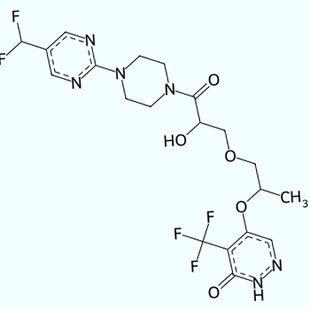 CC(COCC(O)C(=O)N1CCN(c2ncc(C(F)F)cn2)CC1)Oc1cn[nH]c(=O)c1C(F)(F)F